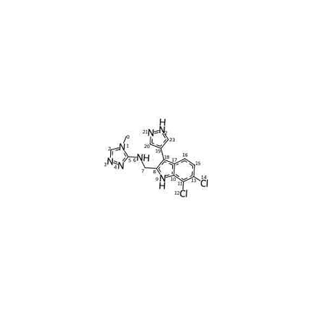 Cn1cnnc1NCc1[nH]c2c(Cl)c(Cl)ccc2c1-c1cn[nH]c1